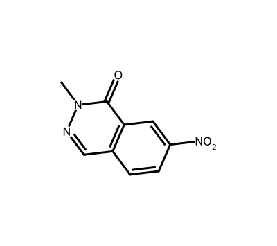 Cn1ncc2ccc([N+](=O)[O-])cc2c1=O